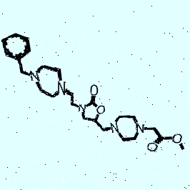 COC(=O)CN1CCN(CC2CN(CCN3CCN(Cc4ccccc4)CC3)C(=O)O2)CC1